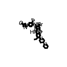 CCc1cc(Nc2ncc(Br)c(Nc3ccc(-n4cc(OC)cn4)cc3P(C)C)n2)c(OC)cc1N1CCC(N2CCCCC2)CC1